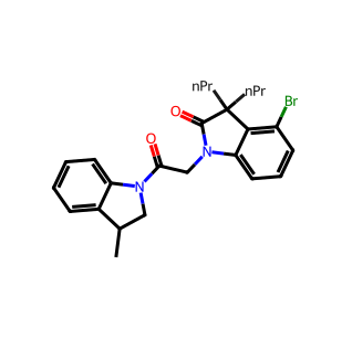 CCCC1(CCC)C(=O)N(CC(=O)N2CC(C)c3ccccc32)c2cccc(Br)c21